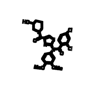 COc1ccc(N(C(=O)c2ccc(Cl)cc2Cl)c2nc(C(=O)N3CCCC(O)C3)cs2)cc1OC